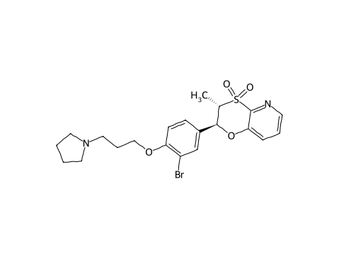 C[C@H]1[C@H](c2ccc(OCCCN3CCCC3)c(Br)c2)Oc2cccnc2S1(=O)=O